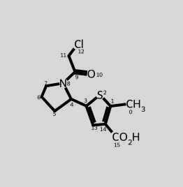 Cc1sc(C2CCCN2C(=O)CCl)cc1C(=O)O